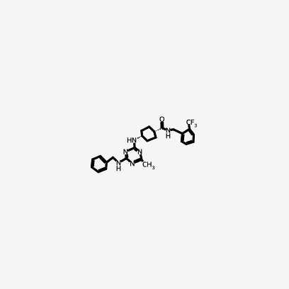 Cc1nc(NCc2ccccc2)nc(N[C@H]2CC[C@@H](C(=O)NCc3ccccc3C(F)(F)F)CC2)n1